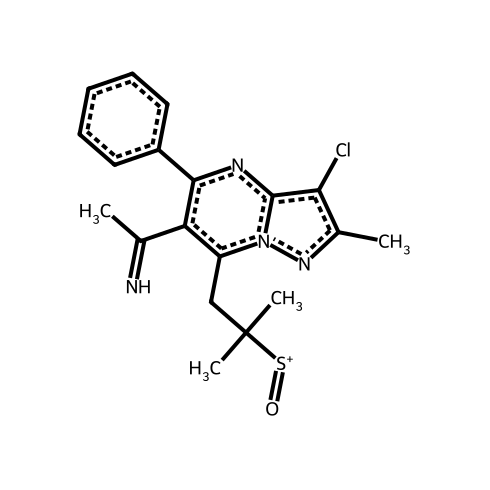 CC(=N)c1c(-c2ccccc2)nc2c(Cl)c(C)nn2c1CC(C)(C)[S+]=O